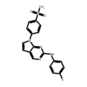 CS(=O)(=O)c1ccc(-n2ccc3cnc(Nc4ccc(F)cc4)nc32)cc1